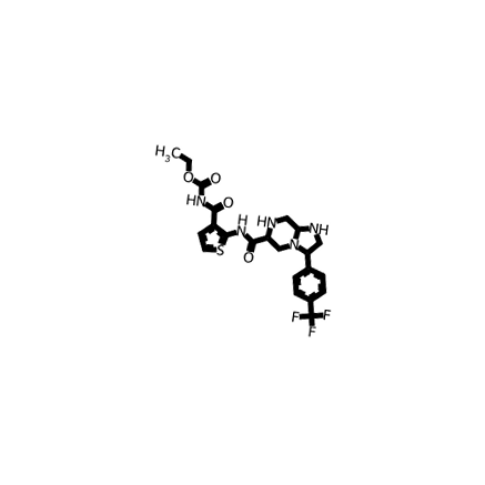 CCOC(=O)NC(=O)c1ccsc1NC(=O)C1CN2C(CN1)NCC2c1ccc(C(F)(F)F)cc1